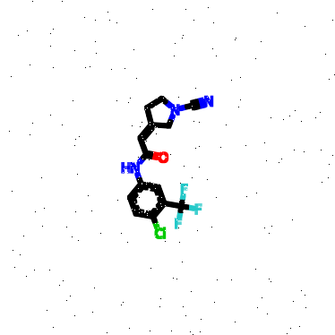 N#CN1CCC(=CC(=O)Nc2ccc(Cl)c(C(F)(F)F)c2)C1